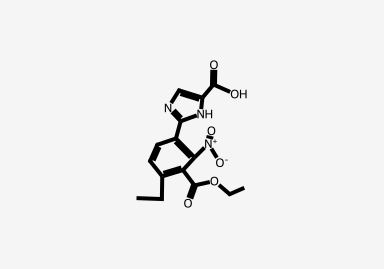 CCOC(=O)c1c(CC)ccc(-c2ncc(C(=O)O)[nH]2)c1[N+](=O)[O-]